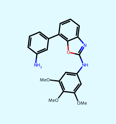 COc1cc(Nc2nc3cccc(-c4cccc(N)c4)c3o2)cc(OC)c1OC